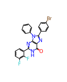 O=c1[nH]c(-c2cccc(F)c2F)nc2c1nc(-c1ccc(Br)cc1)n2-c1ccccc1